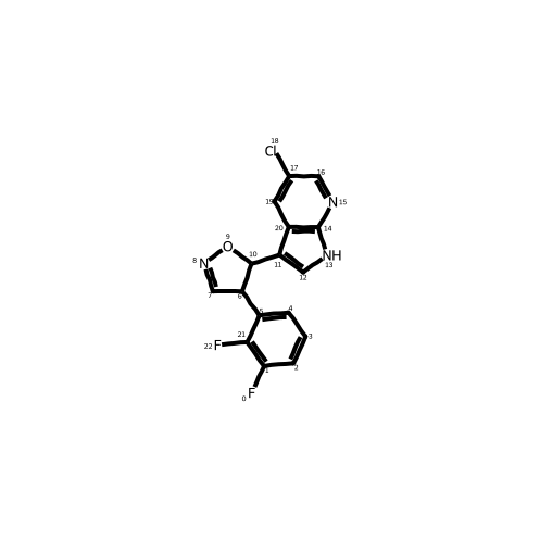 Fc1cccc(C2C=NOC2c2c[nH]c3ncc(Cl)cc23)c1F